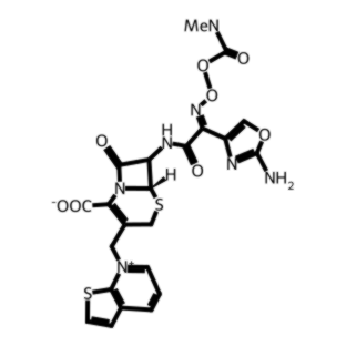 CNC(=O)OON=C(C(=O)NC1C(=O)N2C(C(=O)[O-])=C(C[n+]3cccc4ccsc43)CS[C@@H]12)c1coc(N)n1